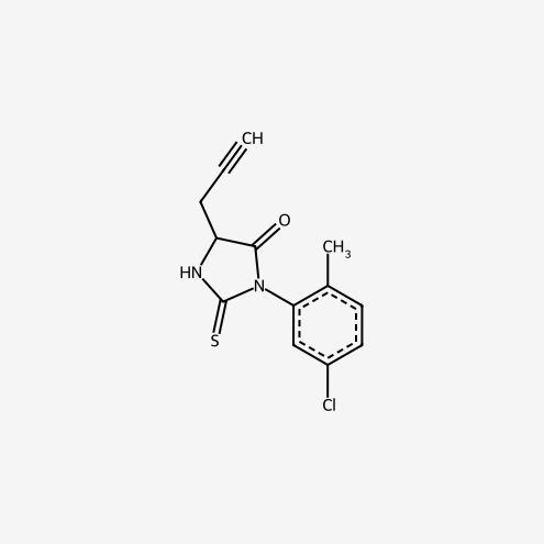 C#CCC1NC(=S)N(c2cc(Cl)ccc2C)C1=O